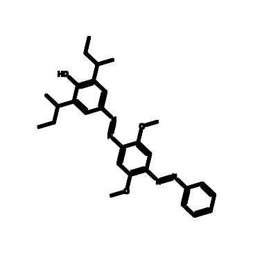 CCC(C)c1cc(N=Nc2cc(OC)c(N=Nc3ccccc3)cc2OC)cc(C(C)CC)c1O